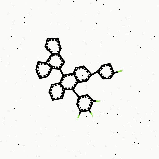 Fc1ccc(-c2ccc3c(-c4cc5ccccc5c5ccccc45)c4ccccc4c(-c4cc(F)c(F)c(F)c4)c3c2)cc1